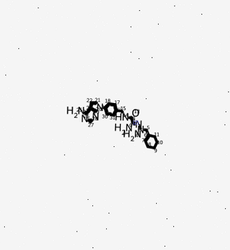 N/C(=N\N(N)CC1=CCCCC1)C(=O)NCc1ccc(-n2ccc3c(N)ncnc32)cc1